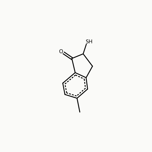 Cc1ccc2c(c1)CC(S)C2=O